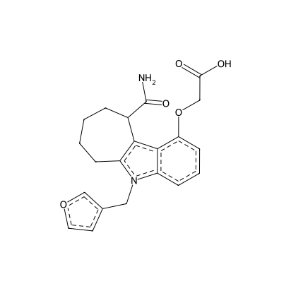 NC(=O)C1CCCCc2c1c1c(OCC(=O)O)cccc1n2Cc1ccoc1